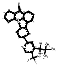 [2H]C([2H])([2H])c1cnc(-c2ccc3c(c2)c2cccc4c(=O)c5ccccc5n3c42)cc1C([2H])([2H])C(C)(C)C